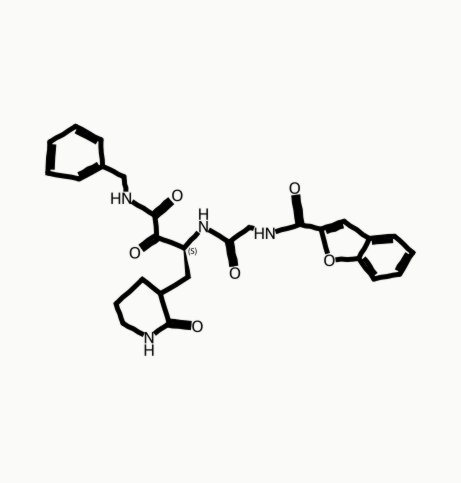 O=C(CNC(=O)c1cc2ccccc2o1)N[C@@H](CC1CCCNC1=O)C(=O)C(=O)NCc1ccccc1